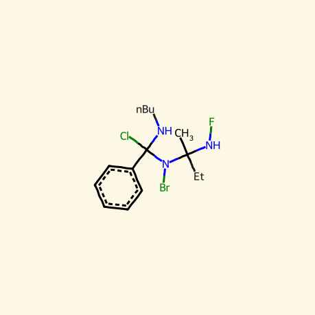 CCCCNC(Cl)(c1ccccc1)N(Br)C(C)(CC)NF